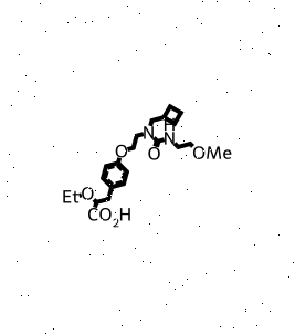 CCOC(Cc1ccc(OCCN(CC2CCC2)C(=O)NCCOC)cc1)C(=O)O